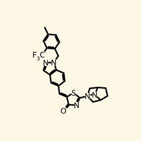 Cc1ccc(Cn2ncc3cc(/C=C4\SC(N5CC6CCC(C5)N6C)=NC4=O)ccc32)c(C(F)(F)F)c1